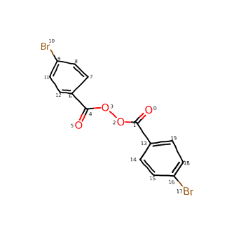 O=C(OOC(=O)c1ccc(Br)cc1)c1ccc(Br)cc1